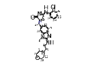 Cn1c(NCCN2CCOCC2)nc2ccc(/C=C3\SC(Nc4ccccc4Cl)=NC3=O)cc21